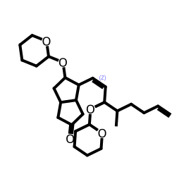 C=CCCC(C)C(/C=C\C1C(OC2CCCCO2)CC2CC(=O)CC21)OC1CCCCO1